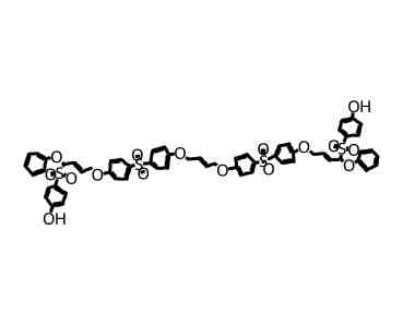 O=S(=O)(c1ccc(OC/C=C/COc2ccc(S(=O)(=O)c3ccc(OC/C=C/C(Oc4ccccc4)S(=O)(=O)c4ccc(O)cc4)cc3)cc2)cc1)c1ccc(OC/C=C/C(Oc2ccccc2)S(=O)(=O)c2ccc(O)cc2)cc1